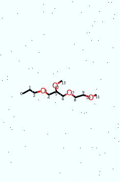 CCCOCC(COCCOC)OC